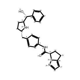 O=C(Nc1ccc(C[C@@H]2CCC([C@H](O)c3ccccc3)N2)cc1)[C@H]1CCc2ccnn21